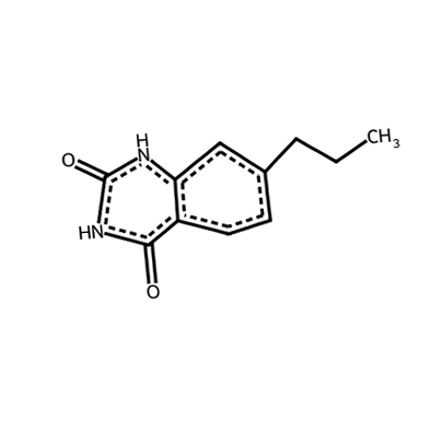 CCCc1ccc2c(=O)[nH]c(=O)[nH]c2c1